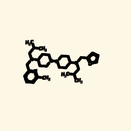 Cc1cccc(CN(CC(C)C)C2CCN(N3CCC(N(Cc4ccco4)CC(C)C)CC3)CC2)n1